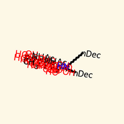 CCCCCCCCCCCCC/C=C/[C@@H](O)[C@H](CO[C@@H]1OC(CO)[C@@H](O[C@@H]2OC(CO)[C@H](O[C@@H]3OC(CO)[C@H](O)[C@H](O[C@@H]4OC(CO)[C@H](O)[C@H](O[C@@H]5OC(CO)[C@@H](O)[C@H](O[C@H]6OC(C)[C@@H](O)C(O)[C@@H]6O)C5NC(C)=O)C4O)C3NC(C)=O)[C@H](O)C2O)[C@H](O)C1O)NC(=O)CCCCCCCCCCCCCCCCCCCCC